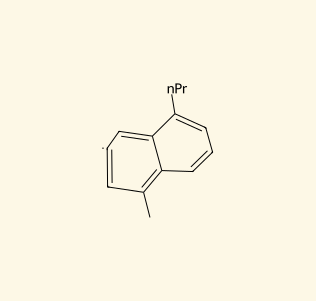 CCCc1cccc2c(C)c[c]cc12